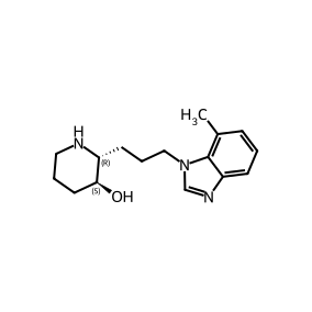 Cc1cccc2ncn(CCC[C@H]3NCCC[C@@H]3O)c12